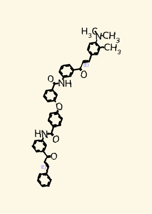 Cc1cc(/C=C/C(=O)c2cccc(NC(=O)c3cccc(Oc4ccc(C(=O)Nc5cccc(C(=O)/C=C/c6ccccc6)c5)cc4)c3)c2)ccc1N(C)C